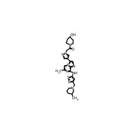 Cc1cn2c(-c3cnn(CC(=O)N4CCC(O)CC4)c3)cnc2c(Nc2cc(CN3CCCC(C)C3)ns2)n1